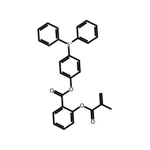 C=C(C)C(=O)Oc1ccccc1C(=O)Oc1ccc([S+](c2ccccc2)c2ccccc2)cc1